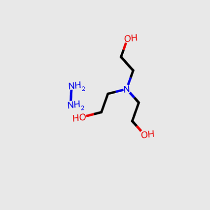 NN.OCCN(CCO)CCO